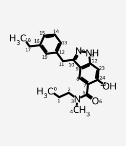 CCCN(C)C(=O)c1cc2c(Cc3cccc(CC)c3)n[nH]c2cc1O